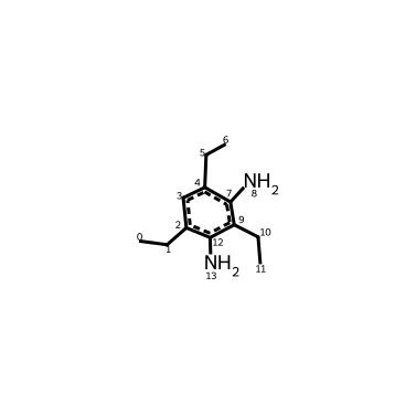 CCc1cc(CC)c(N)c(CC)c1N